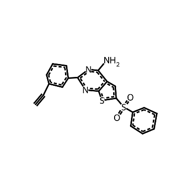 C#Cc1cccc(-c2nc(N)c3cc(S(=O)(=O)c4ccccc4)sc3n2)c1